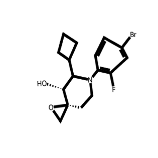 O[C@@H]1C(C2CCC2)N(c2ccc(Br)cc2F)CC[C@@]12CO2